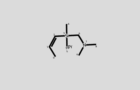 C/C=C\[Si](C)(CCC)CN(C)C